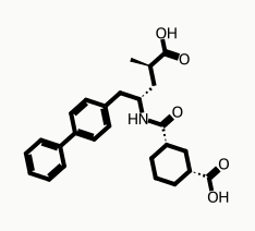 C[C@H](C[C@@H](Cc1ccc(-c2ccccc2)cc1)NC(=O)[C@H]1CCC[C@@H](C(=O)O)C1)C(=O)O